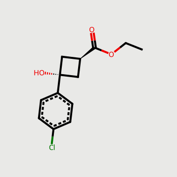 CCOC(=O)[C@H]1C[C@@](O)(c2ccc(Cl)cc2)C1